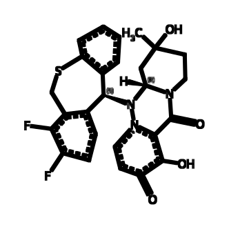 CC1(O)CCN2C(=O)c3c(O)c(=O)ccn3N([C@@H]3c4ccccc4SCc4c3ccc(F)c4F)[C@@H]2C1